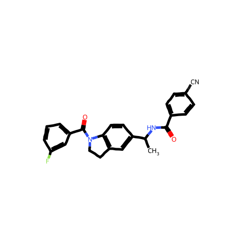 CC(NC(=O)c1ccc(C#N)cc1)c1ccc2c(c1)CCN2C(=O)c1cccc(F)c1